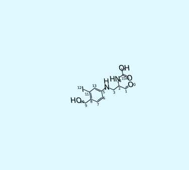 O=CC(CNc1ccc(CO)c(I)c1)NC(=O)O